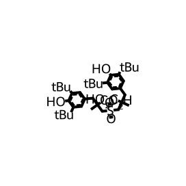 CC(Cc1cc(C(C)(C)C)c(O)c(C(C)(C)C)c1)(CS(=O)(=O)CC(C)(Cc1cc(C(C)(C)C)c(O)c(C(C)(C)C)c1)C(=O)O)C(=O)O